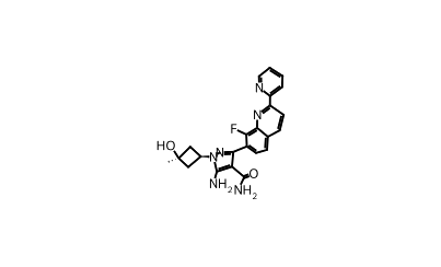 C[C@]1(O)C[C@@H](n2nc(-c3ccc4ccc(-c5ccccn5)nc4c3F)c(C(N)=O)c2N)C1